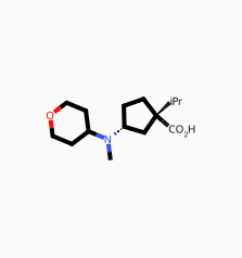 CC(C)[C@]1(C(=O)O)CC[C@@H](N(C)C2CCOCC2)C1